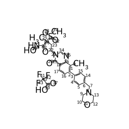 Cc1c(-c2ccc(CN3CCOCC3)cc2)ccc2c(=O)n(CC[C@](C)(C(=O)NO)S(C)(=O)=O)cnc12.O=C(O)C(F)(F)F